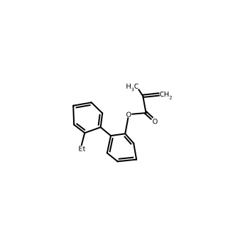 C=C(C)C(=O)Oc1ccccc1-c1ccccc1CC